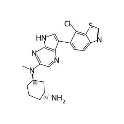 CN(c1cnc2c(-c3ccc4ncsc4c3Cl)c[nH]c2n1)[C@@H]1CCC[C@@H](N)C1